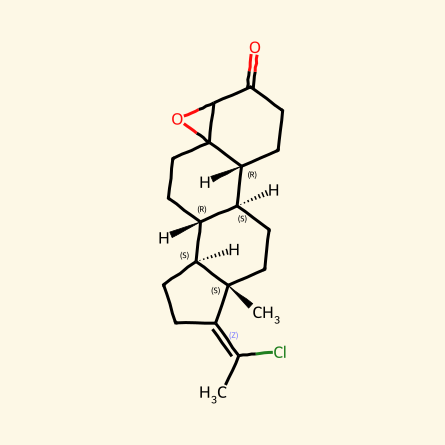 C/C(Cl)=C1\CC[C@H]2[C@@H]3CCC45OC4C(=O)CC[C@@H]5[C@H]3CC[C@]12C